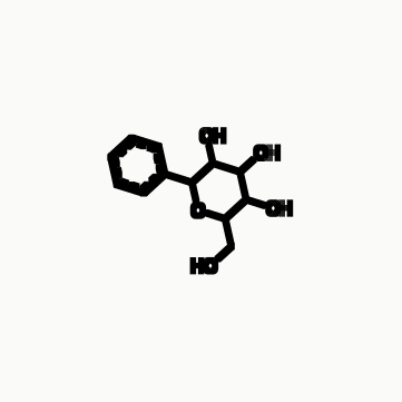 OCC1OC(c2ccccc2)C(O)C(O)C1O